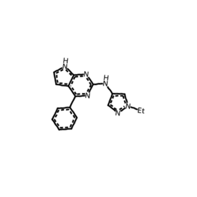 CCn1cc(Nc2nc(-c3ccccc3)c3cc[nH]c3n2)cn1